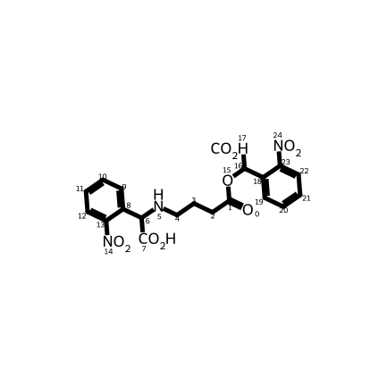 O=C(CCCNC(C(=O)O)c1ccccc1[N+](=O)[O-])OC(C(=O)O)c1ccccc1[N+](=O)[O-]